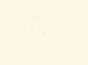 COc1ccc(C2CCN(c3cnn4c(CC5CC5)nnc4c3Cl)CC2)cc1